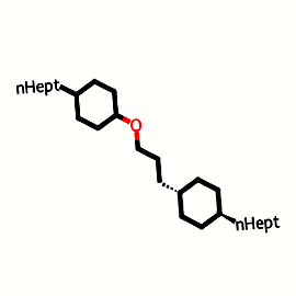 CCCCCCCC1CCC(OCCC[C@H]2CC[C@H](CCCCCCC)CC2)CC1